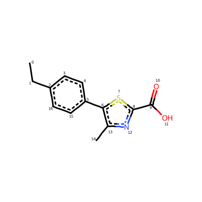 CCc1ccc(-c2sc(C(=O)O)nc2C)cc1